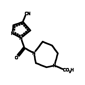 N#Cc1cnn(C(=O)N2CCCN(C(=O)O)CC2)c1